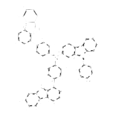 C1=CC2Oc3c(-c4ccc(N(c5ccc(-c6cccc7c6sc6ccccc67)cc5)c5ccc6c7ccccc7n(-c7ccccc7)c6c5)cc4)cccc3C2C=C1